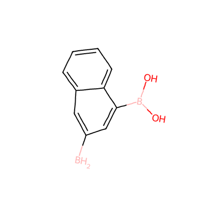 Bc1cc(B(O)O)c2ccccc2c1